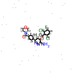 C[C@@H](Oc1cc(-c2ccc(C(=O)N3CCOCC3)cc2)nnc1N)c1c(Cl)ccc(F)c1Cl